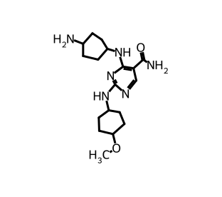 COC1CCC(Nc2ncc(C(N)=O)c(NC3CCC(N)CC3)n2)CC1